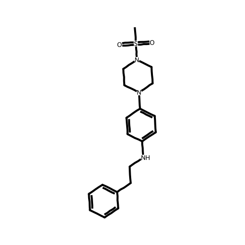 CS(=O)(=O)N1CCN(c2ccc(NCCc3ccccc3)cc2)CC1